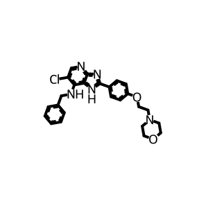 Clc1cnc2nc(-c3ccc(OCCN4CCOCC4)cc3)[nH]c2c1NCc1ccccc1